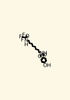 O=C(NCCCCCCCCNS(=O)(=O)c1ccc(O)cc1)C(F)(F)F